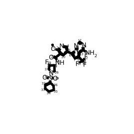 COc1ncc(-c2cc(C(F)(F)F)c3c(N)ncnn23)cc1C(=O)N[C@@H]1CN(S(=O)(=O)C2=CCCCC2)C[C@@H]1F